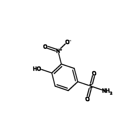 NS(=O)(=O)c1ccc(O)c([N+](=O)[O-])c1